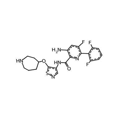 Nc1cc(F)c(-c2c(F)cccc2F)nc1C(=O)Nc1cnsc1OC1CCCNCC1